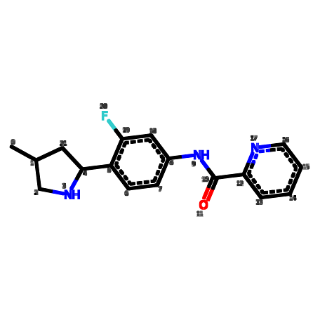 CC1CNC(c2ccc(NC(=O)c3ccccn3)cc2F)C1